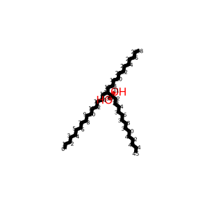 CCCCCCCCCCCCCCCCC(CCCCCCCCCCCC)C(O)(O)CCCCCCCCCCCCCC